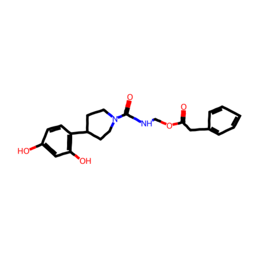 O=C(Cc1ccccc1)OCNC(=O)N1CCC(c2ccc(O)cc2O)CC1